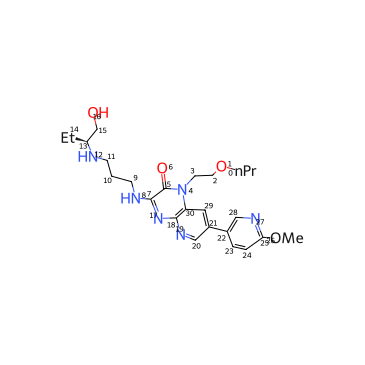 CCCOCCn1c(=O)c(NCCCN[C@@H](CC)CO)nc2ncc(-c3ccc(OC)nc3)cc21